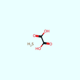 O=C(O)C(=O)O.S